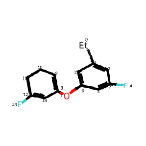 CCc1cc(F)cc(OC2=CCCC(F)=C2)c1